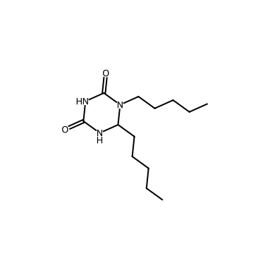 CCCCCC1NC(=O)NC(=O)N1CCCCC